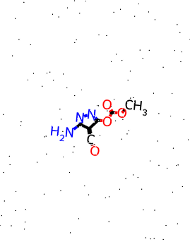 COC(=O)OC1=NN=C(N)C1=C=O